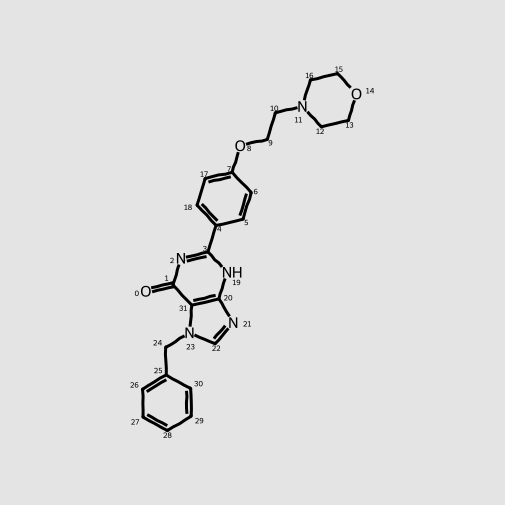 O=c1nc(-c2ccc(OCCN3CCOCC3)cc2)[nH]c2ncn(Cc3ccccc3)c12